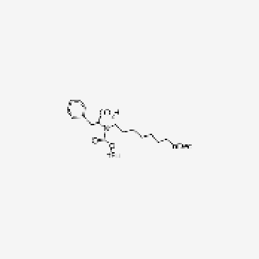 CCCCCCCCCCCCCCCCCN(C(=O)OC(C)(C)C)[C@@H](Cc1ccccc1)C(=O)O